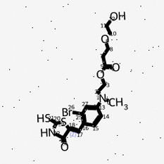 CN(CCOC(=O)CCOCCO)c1ccc(/C=C2\SC(S)NC2=O)c(Br)c1